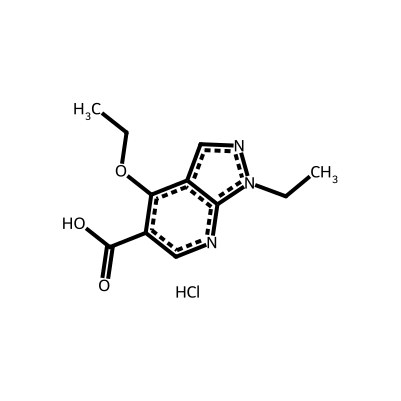 CCOc1c(C(=O)O)cnc2c1cnn2CC.Cl